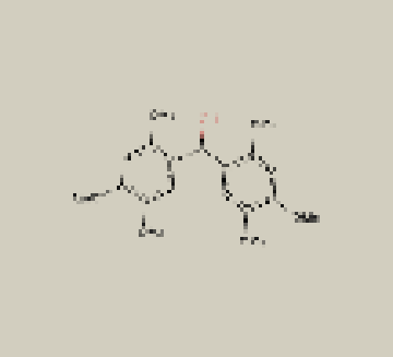 COc1cc(OC)c(C(O)c2cc(OC)c(OC)cc2OC)cc1OC